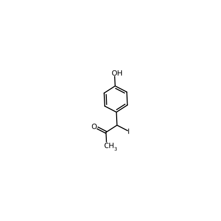 CC(=O)C(I)c1ccc(O)cc1